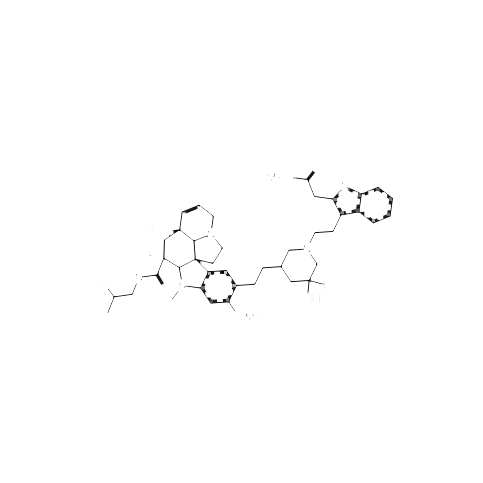 CCC1(O)CC(CCc2cc3c(cc2OC)N(C)C2C34CCN3CC=CC(CC)(C34)[C@@H](O)[C@]2(O)C(=O)NCC(C)O)CN(CCc2c(CC(=O)OC)[nH]c3ccccc23)C1